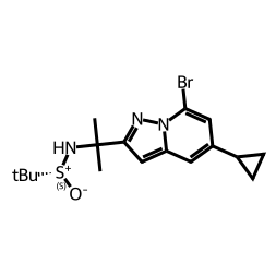 CC(C)(N[S@+]([O-])C(C)(C)C)c1cc2cc(C3CC3)cc(Br)n2n1